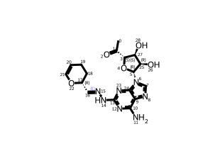 CC(=O)[C@H]1O[C@@H](n2cnc3c(N)nc(N/N=C/[C@H]4CCC=CO4)nc32)[C@H](O)[C@@H]1O